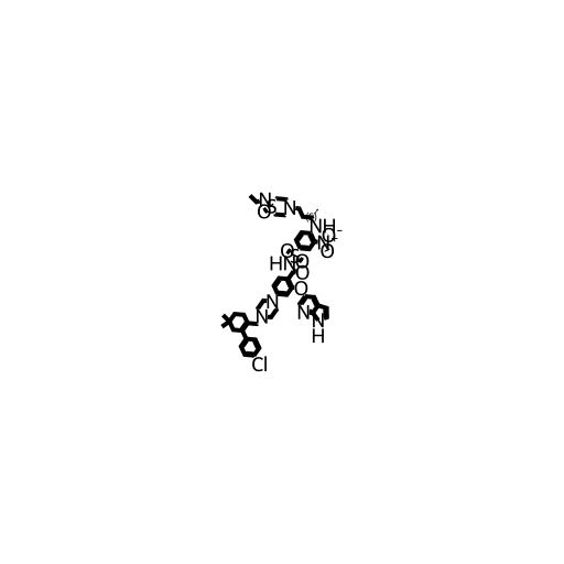 CCN=S1(=O)CCN(CC[C@H](C)Nc2ccc(S(=O)(=O)NC(=O)c3ccc(N4CCN(CC5=C(c6ccc(Cl)cc6)CC(C)(C)CC5)CC4)cc3Oc3cnc4[nH]ccc4c3)cc2[N+](=O)[O-])CC1